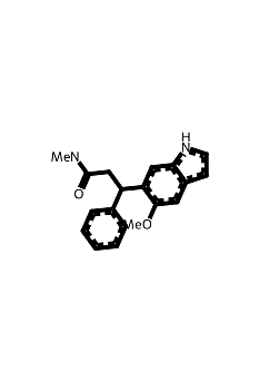 CNC(=O)CC(c1ccccc1)c1cc2[nH]ccc2cc1OC